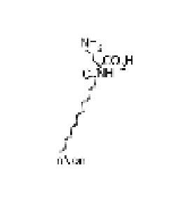 CCCCCCCCCC=CC=CC=CC=CC=CC=CC(=O)N[C@@H](CCCN)C(=O)O